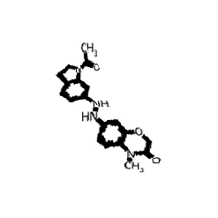 CC(=O)N1CCc2ccc(NNc3ccc4c(c3)OCC(=O)N4C)cc21